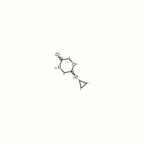 C1CC1.O=C1COC(=O)CO1